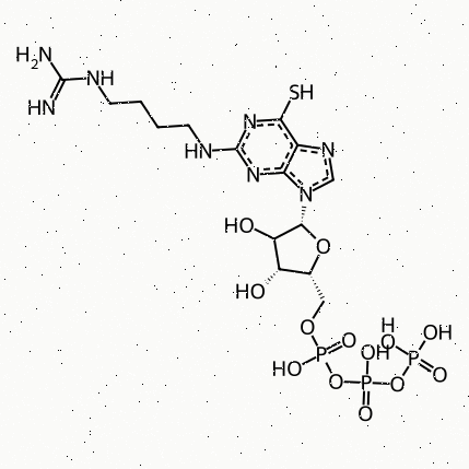 N=C(N)NCCCCNc1nc(S)c2ncn([C@@H]3O[C@H](COP(=O)(O)OP(=O)(O)OP(=O)(O)O)[C@H](O)C3O)c2n1